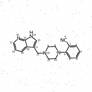 N#Cc1ccccc1N1CCN(Cc2c[nH]c3ncccc23)CC1